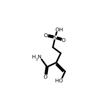 NC(=O)C(=CO)CCS(=O)(=O)O